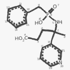 CC(CCC(=O)O)(NP(=O)(O)Cc1ccccc1)c1cccnc1